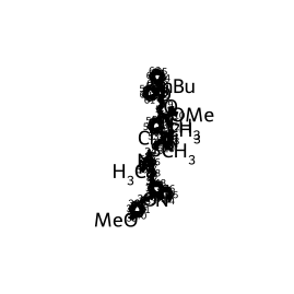 CCCC[Si](OCCCc1c(C(=O)OC)n(C)c2c(-c3c(C)nn(C)c3CSCc3cc(CSc4cc(OCc5ccc(OC)cc5)c5ncccc5c4)n(C)n3)c(Cl)ccc12)(c1ccccc1)c1ccccc1